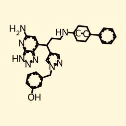 Nc1cc(C(CCNC23CCC(c4ccccc4)(CC2)CC3)c2cnn(Cc3cccc(O)c3)c2)c2nn[nH]c2n1